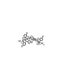 C[C@H](NC(=O)OC[C@@H]1CO[C@H](CCc2c(F)cccc2N[C@H](C(N)=O)C(c2ccc(F)cc2)c2ccc(F)cc2)CN1)c1ccc(F)cc1